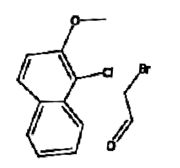 COc1ccc2ccccc2c1Cl.O=CCBr